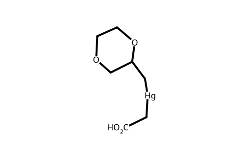 O=C(O)[CH2][Hg][CH2]C1COCCO1